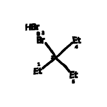 Br.[CH2]CC(Br)(CC)CC